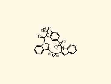 Cc1ccc(S(=O)(=O)n2c([C@H]3C[C@H]3c3cn(C(=O)OC(C)(C)C)c4ccccc34)cc3ccccc32)cc1